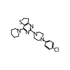 Clc1ccc(N2CCN(c3nc4c(c(N5CCCCC5)n3)SCC4)CC2)cc1